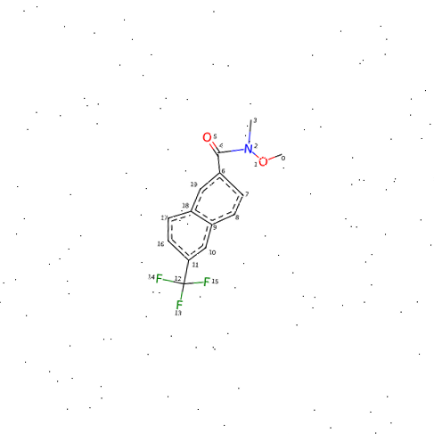 CON(C)C(=O)c1ccc2cc(C(F)(F)F)ccc2c1